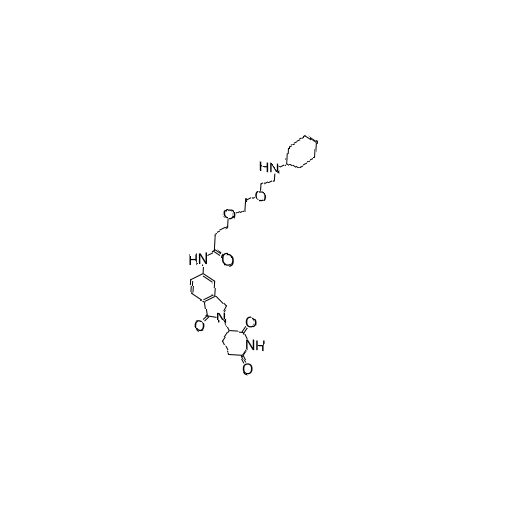 O=C1CCC(N2Cc3cc(NC(=O)CCOCCOCCNC4CCCCC4)ccc3C2=O)C(=O)N1